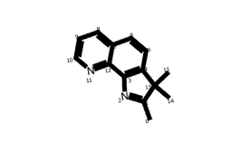 CC1=Nc2c(ccc3cccnc23)C1(C)C